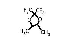 CC1OC(C(F)(F)F)(C(F)(F)F)OC1C